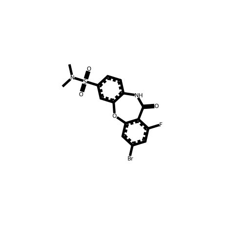 CN(C)S(=O)(=O)c1ccc2c(c1)Oc1cc(Br)cc(F)c1C(=O)N2